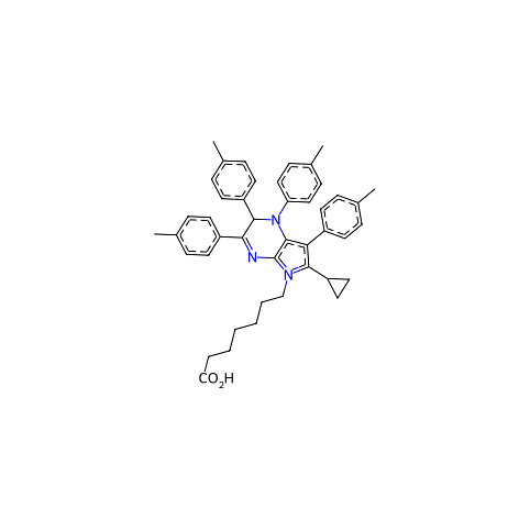 Cc1ccc(C2=Nc3c(c(-c4ccc(C)cc4)c(C4CC4)n3CCCCCCC(=O)O)N(c3ccc(C)cc3)C2c2ccc(C)cc2)cc1